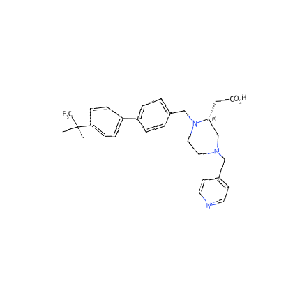 CC(C)(c1ccc(-c2ccc(CN3CCN(Cc4ccncc4)C[C@H]3CC(=O)O)cc2)cc1)C(F)(F)F